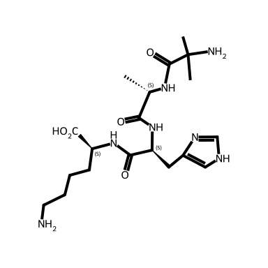 C[C@H](NC(=O)C(C)(C)N)C(=O)N[C@@H](Cc1c[nH]cn1)C(=O)N[C@@H](CCCCN)C(=O)O